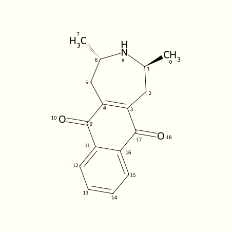 C[C@H]1CC2=C(C[C@H](C)N1)C(=O)c1ccccc1C2=O